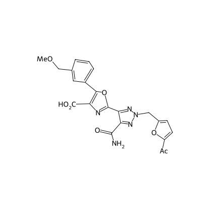 COCc1cccc(-c2oc(-c3nn(Cc4ccc(C(C)=O)o4)nc3C(N)=O)nc2C(=O)O)c1